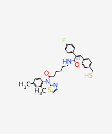 Cc1ccc(N(C(=O)CCCCCNC(=O)/C(=C\c2ccc(CS)cc2)c2ccc(F)cc2)c2nccs2)c(C)c1